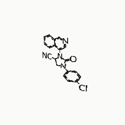 N#CC1CN(c2ccc(Cl)cc2)C(=O)N1c1cncc2ccccc12